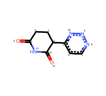 O=C1CCC(c2ccnnn2)C(=O)N1